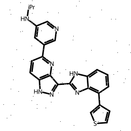 CC(C)Nc1cncc(-c2ccc3[nH]nc(-c4nc5c(-c6ccsc6)cccc5[nH]4)c3n2)c1